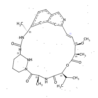 CO[C@@H]1/C=C/c2cc3cc(ccc3cn2)[C@@H](C)NC(=O)[C@@H]2CCCN(N2)C(=O)[C@H](C)NC(=O)[C@H](C(C)C)OC(=O)[C@@H]1C